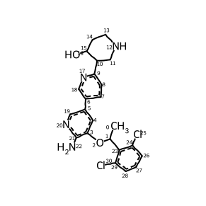 CC(Oc1cc(-c2ccc(C3CNCCC3O)nc2)cnc1N)c1c(Cl)cccc1Cl